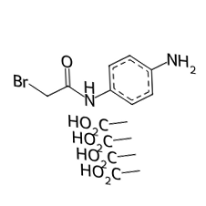 CC(=O)O.CC(=O)O.CC(=O)O.CC(=O)O.Nc1ccc(NC(=O)CBr)cc1